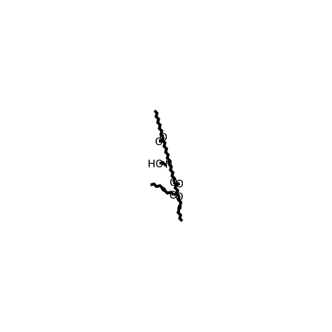 CCCCC#CCCOC(CCC(=O)OCCCCCN(CCO)CCCCCCCC(=O)OCCCCCCCCC)OCCC#CCCCC